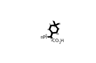 CCCC(C(=O)O)C1CCC(C)(C)CC1